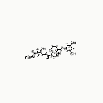 C=C(/C=C/[C@H](O)C(C)(C)C(=O)OCCCC)[C@H]1CC[C@H]2/C(=C/C=C3C[C@@H](O)C[C@H](O)C3)CCC[C@]12C